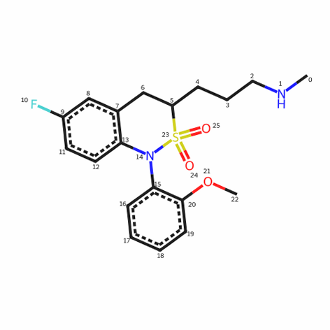 CNCCCC1Cc2cc(F)ccc2N(c2ccccc2OC)S1(=O)=O